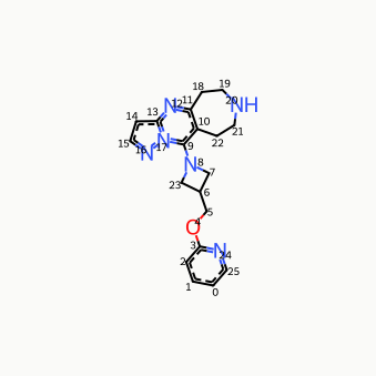 c1ccc(OCC2CN(c3c4c(nc5ccnn35)CCNCC4)C2)nc1